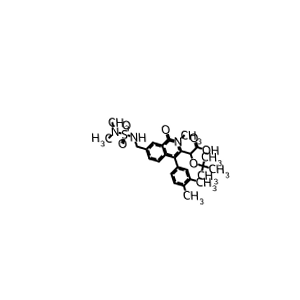 Cc1ccc(-c2c(C(OC(C)(C)C)C(=O)O)n(C)c(=O)c3cc(CNS(=O)(=O)N(C)C)ccc23)cc1C